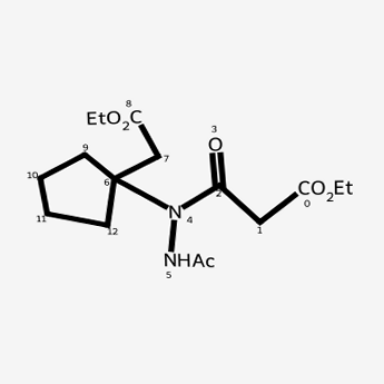 CCOC(=O)CC(=O)N(NC(C)=O)C1(CC(=O)OCC)CCCC1